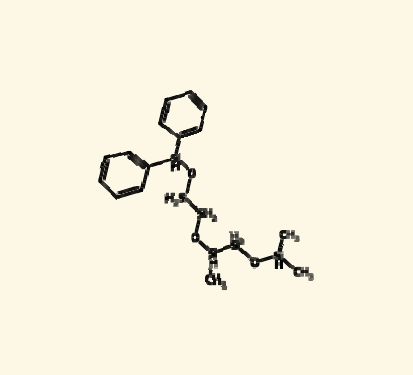 C[SiH](C)O[SiH2][SiH](C)O[SiH2][SiH2]O[SiH](c1ccccc1)c1ccccc1